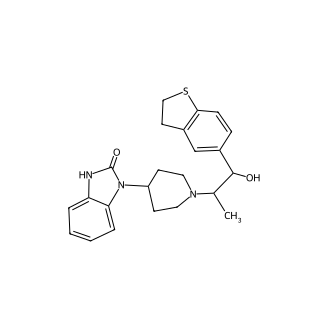 CC(C(O)c1ccc2c(c1)CCS2)N1CCC(n2c(=O)[nH]c3ccccc32)CC1